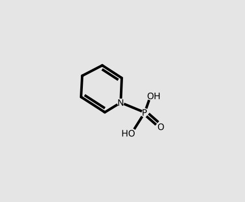 O=P(O)(O)N1C=CCC=C1